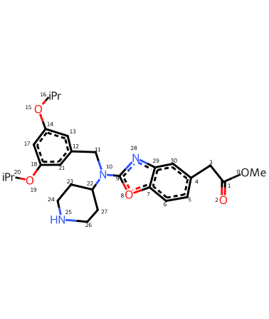 COC(=O)Cc1ccc2oc(N(Cc3cc(OC(C)C)cc(OC(C)C)c3)C3CCNCC3)nc2c1